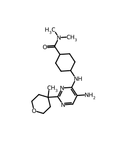 CN(C)C(=O)C1CCC(Nc2nc(C3(C)CCOCC3)ncc2N)CC1